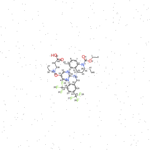 CCOC(=O)N1c2ccc(C)cc2[C@@H](N(Cc2cc(C(F)(F)F)cc(C(F)(F)F)c2)c2ncc(ON(CC)CCC(=O)O)cn2)C[C@H]1CC